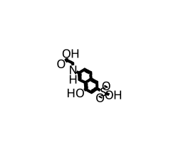 O=C(O)CNc1ccc2cc(S(=O)(=O)O)cc(O)c2c1